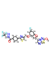 COc1nn2c(-c3cc4c(OCc5csc(-c6ccc(C(=O)NCC(F)(F)F)cc6)n5)cc(F)cc4o3)cnc2s1